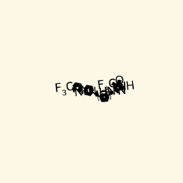 O=c1[nH]ncc(NC[C@@H]2CC[C@@H](CCN3CCN(c4ccc(C(F)(F)F)cn4)CC3)O2)c1C(F)(F)F